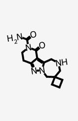 NC(=O)N1CCc2nn3c(c2C1=O)CNCC1(CCC1)C3